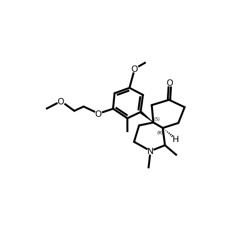 COCCOc1cc(OC)cc([C@]23CCN(C)C(C)[C@@H]2CCC(=O)C3)c1C